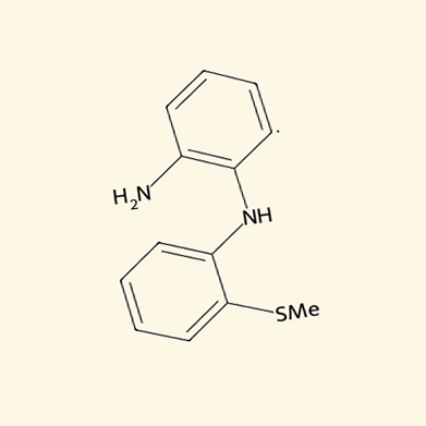 CSc1ccccc1Nc1[c]cccc1N